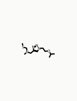 CSCN(C)Cc1cn(CCOC(C)C)nn1